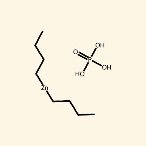 CCC[CH2][Zn][CH2]CCC.O=P(O)(O)O